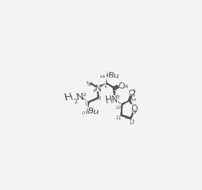 CC[C@H](C)[C@H](N)CN(C)[C@H](C(=O)N[C@H]1CCOC1=O)[C@@H](C)CC